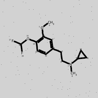 COc1cc(CCN(C)C2CC2)ccc1OC(F)F